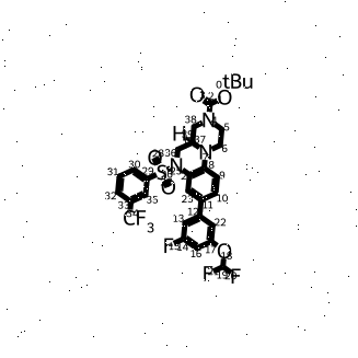 CC(C)(C)OC(=O)N1CCN2c3ccc(-c4cc(F)cc(OC(F)F)c4)cc3N(S(=O)(=O)c3cccc(C(F)(F)F)c3)C[C@@H]2C1